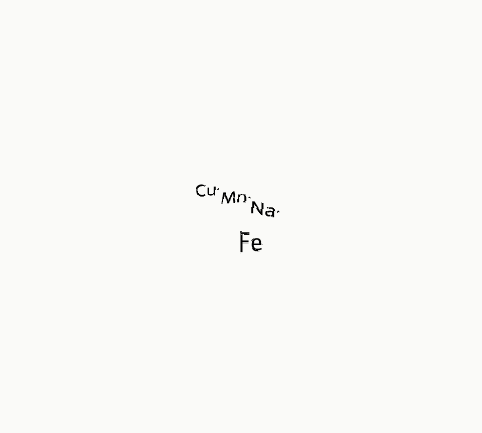 [Cu].[Fe].[Mn].[Na]